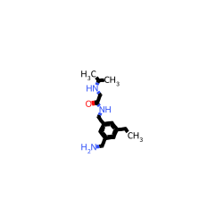 CCc1cc(CN)cc(CNC(=O)CNC(C)C)c1